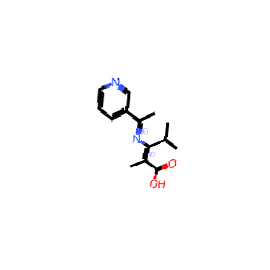 C/C(=N\C(=C(/C)C(=O)O)C(C)C)c1cccnc1